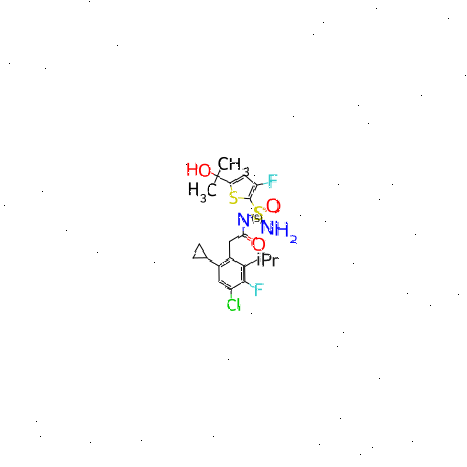 CC(C)c1c(F)c(Cl)cc(C2CC2)c1CC(=O)N=[S@](N)(=O)c1sc(C(C)(C)O)cc1F